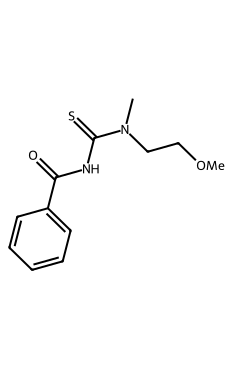 COCCN(C)C(=S)NC(=O)c1ccccc1